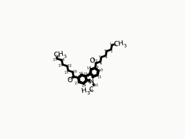 CCCCCCCC(=O)c1ccc2c(c1)c1cc(C(=O)CCCCCCC)ccc1n2CC